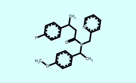 COc1ccc(C(C)N(Cc2ccccn2)C(=O)CC(C)c2ccc(F)cc2)cc1